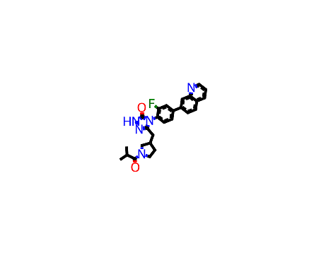 CC(C)C(=O)N1CCC(Cc2n[nH]c(=O)n2-c2ccc(-c3ccc4cccnc4c3)cc2F)C1